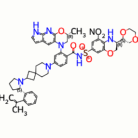 C=C(C)c1ccccc1[C@@H]1CCCN1C1CC2(CCN(c3ccc(C(=O)NS(=O)(=O)c4cc5c(c([N+](=O)[O-])c4)N[C@@H]([C@H]4COCCO4)CO5)c(N4C[C@@H](C)Oc5nc6[nH]ccc6cc54)c3)CC2)C1